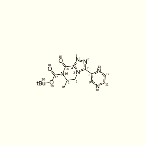 CC1Cn2c(nnc2-c2cnccn2)C(=O)N1C(=O)OC(C)(C)C